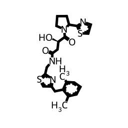 Cc1cccc(C)c1Cc1csc(CNC(=O)C[C@@H](O)C(=O)N2CCCC2c2nccs2)n1